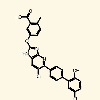 Cc1ccc(Oc2nc3nc(-c4ccc(-c5cc(Cl)ccc5O)cc4)c(Cl)cc3[nH]2)cc1C(=O)O